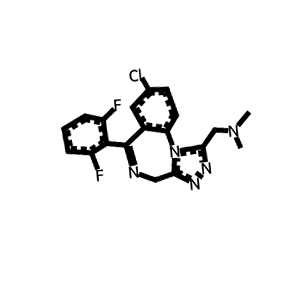 CN(C)Cc1nnc2n1-c1ccc(Cl)cc1C(c1c(F)cccc1F)=NC2